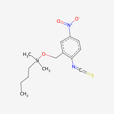 CCCC[Si](C)(C)OCc1cc([N+](=O)[O-])ccc1N=C=S